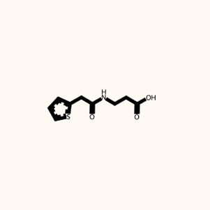 O=C(O)CCNC(=O)Cc1cccs1